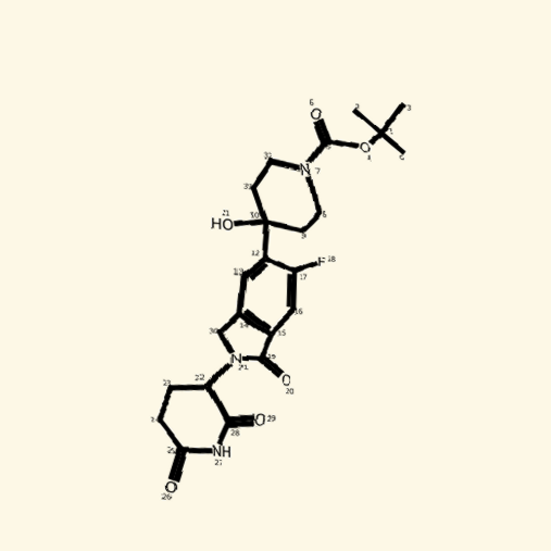 CC(C)(C)OC(=O)N1CCC(O)(c2cc3c(cc2F)C(=O)N(C2CCC(=O)NC2=O)C3)CC1